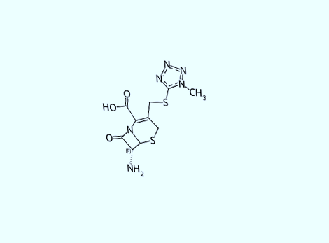 Cn1nnnc1SCC1=C(C(=O)O)N2C(=O)[C@@H](N)C2SC1